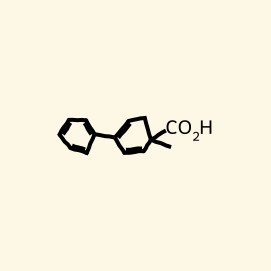 CC1(C(=O)O)C=CC(c2ccccc2)=CC1